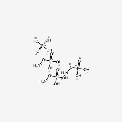 NOP(=O)(O)O.NOP(=O)(O)O.NOP(=O)(O)O.O=P(O)(O)O